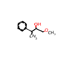 COCC(O)C(C)c1ccccc1